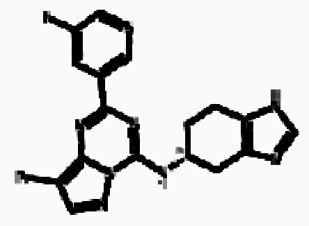 CC(C)c1cnn2c(N[C@@H]3CCc4[nH]cnc4C3)nc(-c3cncc(F)c3)nc12